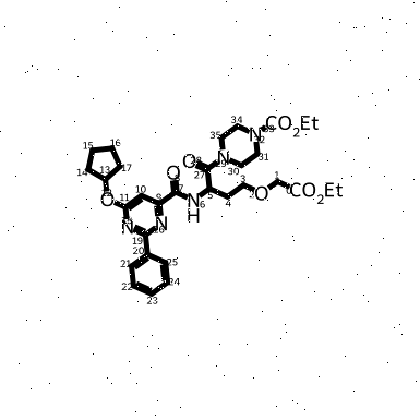 CCOC(=O)COCCC(NC(=O)c1cc(OC2CCCC2)nc(-c2ccccc2)n1)C(=O)N1CCN(C(=O)OCC)CC1